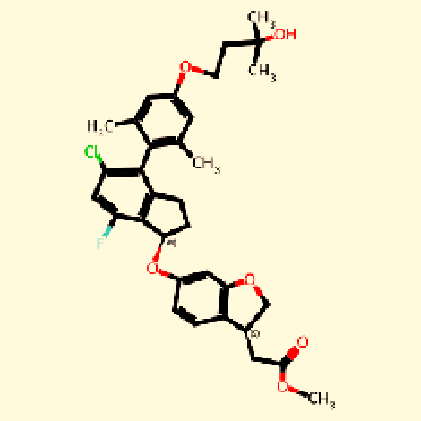 COC(=O)C[C@@H]1COc2cc(O[C@@H]3CCc4c(-c5c(C)cc(OCCC(C)(C)O)cc5C)c(Cl)cc(F)c43)ccc21